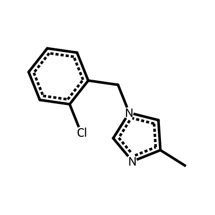 Cc1cn(Cc2ccccc2Cl)cn1